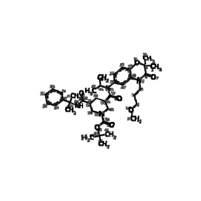 COCCCN1C(=O)C(C)(C)Oc2ccc(N(C(=O)[C@@H]3C[C@H](C(=O)NC(C)(C)c4ccccc4)CN(C(=O)OC(C)(C)C)C3)C(C)C)cc21